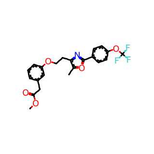 COC(=O)Cc1cccc(OCCc2nc(-c3ccc(OC(F)(F)F)cc3)oc2C)c1